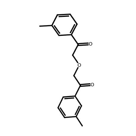 Cc1cccc(C(=O)COCC(=O)c2cccc(C)c2)c1